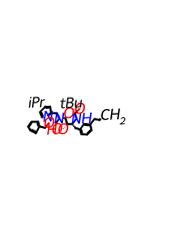 C=CCc1cccc(C[C@H](NC(=O)OC(C)(C)C)[C@H](O)CN(Cc2cc(C(C)C)ccn2)C(=O)OCc2ccccc2)c1